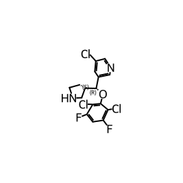 Fc1cc(F)c(Cl)c(O[C@@H](c2cncc(Cl)c2)[C@H]2CCNC2)c1Cl